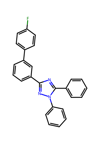 Fc1ccc(-c2cccc(-c3nc(-c4ccccc4)n(-c4ccccc4)n3)c2)cc1